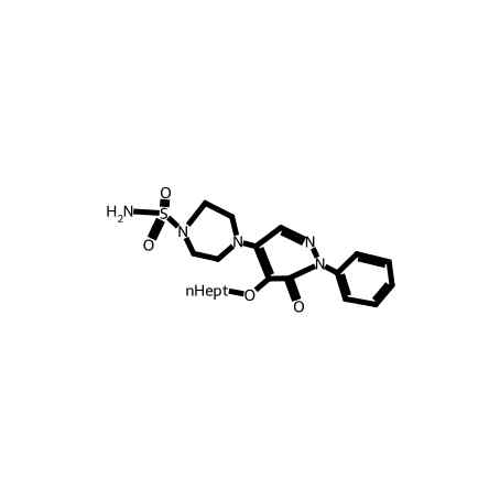 CCCCCCCOc1c(N2CCN(S(N)(=O)=O)CC2)cnn(-c2ccccc2)c1=O